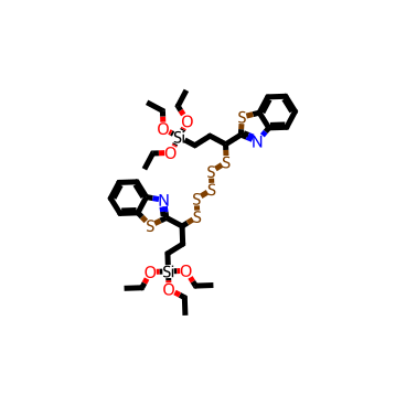 CCO[Si](CCC(SSSSSC(CC[Si](OCC)(OCC)OCC)c1nc2ccccc2s1)c1nc2ccccc2s1)(OCC)OCC